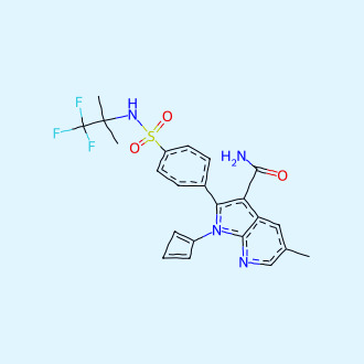 Cc1cnc2c(c1)c(C(N)=O)c(-c1ccc(S(=O)(=O)NC(C)(C)C(F)(F)F)cc1)n2C1=CC=C1